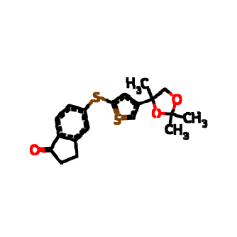 CC1(C)OCC(C)(c2csc(Sc3ccc4c(c3)CCC4=O)c2)O1